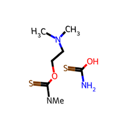 CNC(=S)OCCN(C)C.NC(O)=S